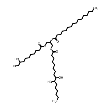 CCCCCCCCCCCCCCCC(=O)OC(COC(=O)CCCCCCCC(O)CO)COC(=O)CCCCCCCC(O)C(O)CCCCCC